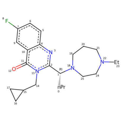 CCC[C@H](c1nc2ccc(F)cc2c(=O)n1CC1CC1)N1CCCN(CC)CC1